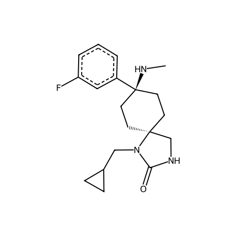 CN[C@]1(c2cccc(F)c2)CC[C@]2(CC1)CNC(=O)N2CC1CC1